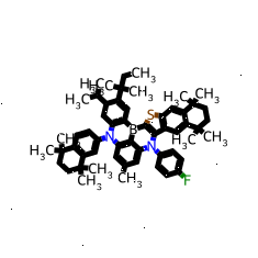 CCC(C)(C)C1=CC2=C(CC1C(C)C)N(c1ccc3c(c1)C(C)(C)CCC3(C)C)c1cc(C)cc3c1B2c1sc2cc4c(cc2c1N3c1ccc(F)cc1)C(C)(C)CCC4(C)C